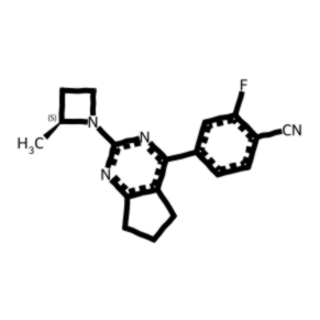 C[C@H]1CCN1c1nc2c(c(-c3ccc(C#N)c(F)c3)n1)CCC2